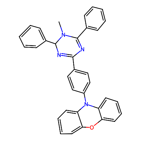 CN1C(c2ccccc2)=NC(c2ccc(N3c4ccccc4Oc4ccccc43)cc2)=NC1c1ccccc1